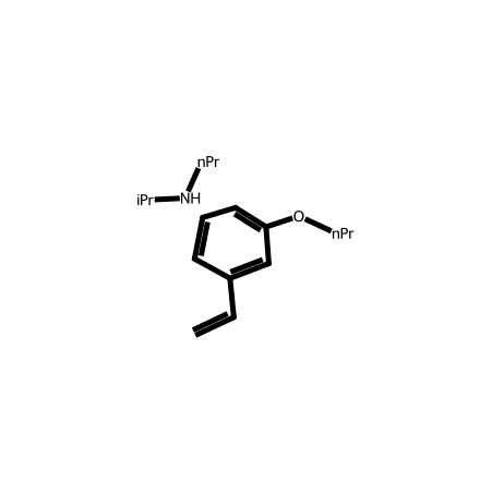 C=Cc1cccc(OCCC)c1.CCCNC(C)C